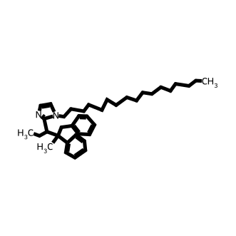 CCCCCCCCCCCCCCCCCn1ccnc1C(CC)C(C)(Cc1ccccc1)c1ccccc1